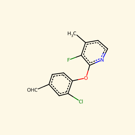 Cc1ccnc(Oc2ccc(C=O)cc2Cl)c1F